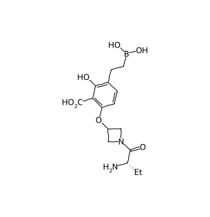 CC[C@H](N)C(=O)N1CC(Oc2ccc(CCB(O)O)c(O)c2C(=O)O)C1